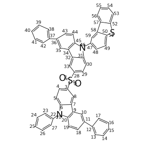 O=S(=O)(c1ccc2c(c1)c1cc(-c3ccccc3)ccc1n2-c1ccccc1)c1ccc2c(c1)c1cc(-c3ccccc3)ccc1n2-c1ccc2sc3ccccc3c2c1